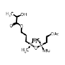 CCCC[Si](C)(CCOC(C)=O)O[Si](C)(C)CCCOC(=O)C(C)O